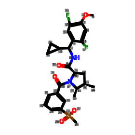 COc1cc(F)c(C(NC(=O)[C@H]2C[C@@H](C)[C@@H](C)N2C(=O)c2cccc(S(C)(=O)=O)c2)C2CC2)cc1F